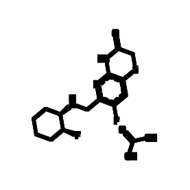 O=C(O)O.O=C1CSc2cc(F)c(CN[C@@H]3CCCC[C@@H]3F)nc2N1